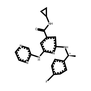 C[C@H](Nc1cc(C(=O)NC2CC2)cc(Nc2cnccn2)n1)c1ccc(F)cc1